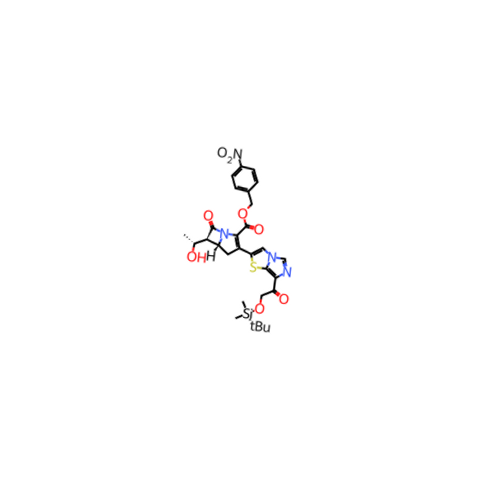 C[C@@H](O)[C@H]1C(=O)N2C(C(=O)OCc3ccc([N+](=O)[O-])cc3)=C(c3cn4cnc(C(=O)CO[Si](C)(C)C(C)(C)C)c4s3)C[C@H]12